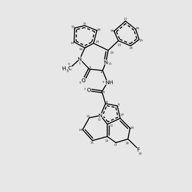 CN1C(=O)C(NC(=O)c2cc3c4n2CC=CC=4CC(F)C=3)N=C(c2ccccc2)c2ccccc21